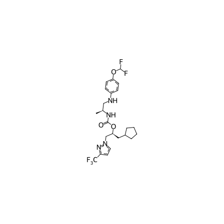 C[C@@H](CNc1ccc(OC(F)F)cc1)NC(=O)O[C@@H](CC1CCCC1)Cn1ccc(C(F)(F)F)n1